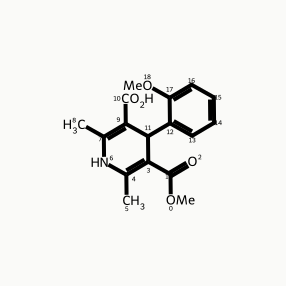 COC(=O)C1=C(C)NC(C)=C(C(=O)O)C1c1ccccc1OC